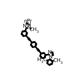 CCCc1nc(-c2cccc(C#Cc3ccc(C#Cc4cccc(-c5nccn5-c5c(C)cccc5C)c4)cc3)c2)n(C)n1